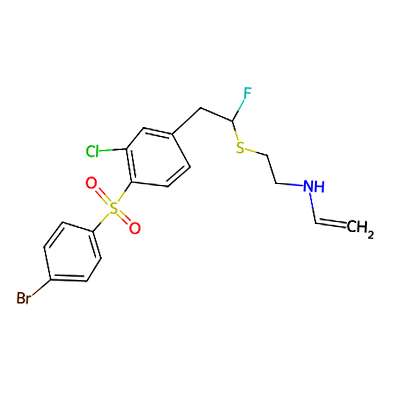 C=CNCCSC(F)Cc1ccc(S(=O)(=O)c2ccc(Br)cc2)c(Cl)c1